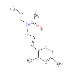 C=CCN(C/C=C/C1CCC(C)=CC1C)C(C)=O